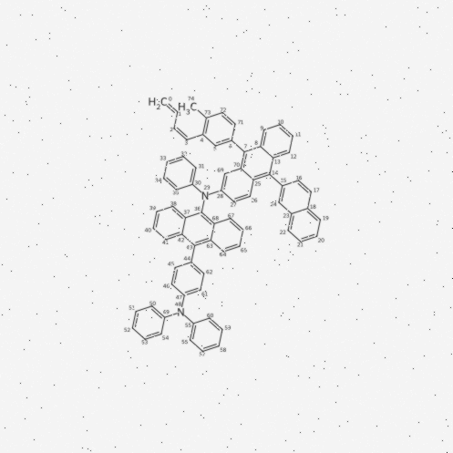 C=C/C=C\c1cc(-c2c3ccccc3c(-c3ccc4ccccc4c3)c3ccc(N(c4ccccc4)c4c5ccccc5c(-c5ccc(N(c6ccccc6)c6ccccc6)cc5)c5ccccc45)cc23)ccc1C